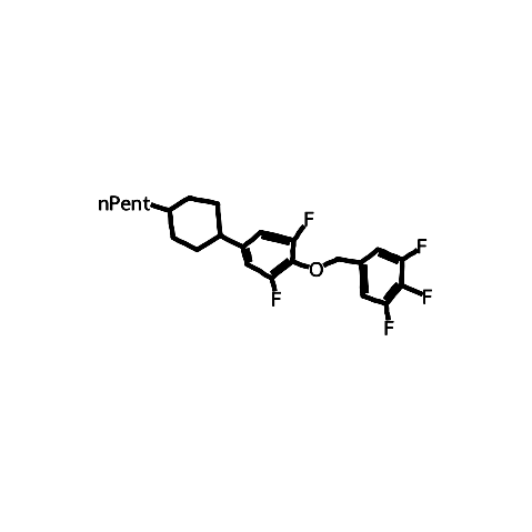 CCCCCC1CCC(c2cc(F)c(OCc3cc(F)c(F)c(F)c3)c(F)c2)CC1